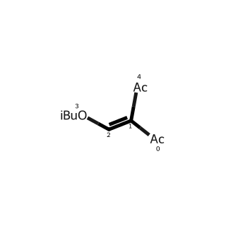 CC(=O)C(=COCC(C)C)C(C)=O